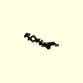 O=C(CNCC(=O)NCC(=O)N[C@@H](Cc1ccccc1)C(=O)NCC(=O)Nc1ccc(CO)cc1)CN1CCOCCN(C(=O)CCN2C(=O)C=CC2=O)CCOCC1